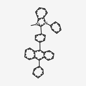 C[n+]1c(-c2ccc(-c3c4ccccc4c(-c4ccccc4)c4ccccc34)cc2)n(-c2ccccc2)c2ccccc21